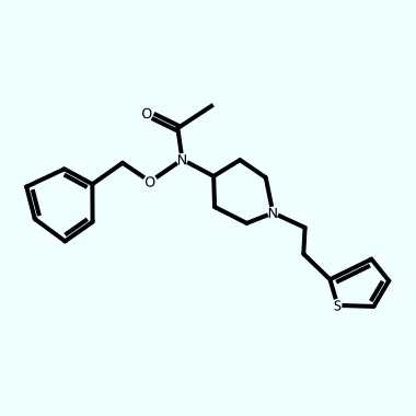 CC(=O)N(OCc1ccccc1)C1CCN(CCc2cccs2)CC1